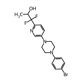 CC(O)C(F)(F)c1ccc(N2CCN(c3ccc(Br)cc3)CC2)cn1